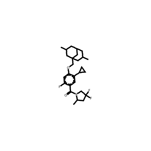 CC1CC2CC(C)CC(COc3cc(F)c(C(=O)N4CC(F)(F)CC4C)cc3C3CC3)(C1)C2